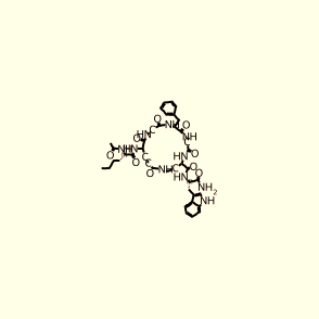 CCCC[C@H](NC(C)=O)C(=O)NC1CCC(=O)NCCC(C(=O)N[C@@H](Cc2c[nH]c3ccccc23)C(N)=O)NC(=O)CNC(=O)C(Cc2ccccc2)NC(=O)CNC1=O